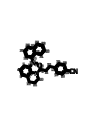 CN(c1cccc2c1N(C(=O)CCc1ccc(C#N)cc1)CCC2)c1cccc2ccccc12